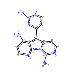 Nc1nccc(-c2c3c(N)ccnc3n3c(N)nccc23)n1